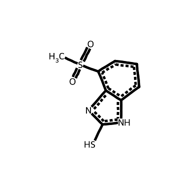 CS(=O)(=O)c1cccc2[nH]c(S)nc12